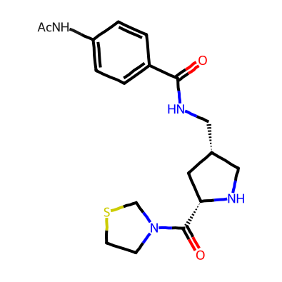 CC(=O)Nc1ccc(C(=O)NC[C@@H]2CN[C@H](C(=O)N3CCSC3)C2)cc1